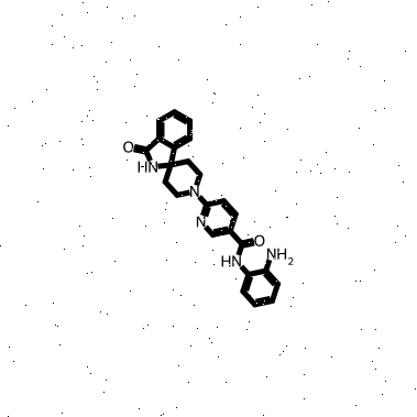 Nc1ccccc1NC(=O)c1ccc(N2CCC3(CC2)NC(=O)c2ccccc23)nc1